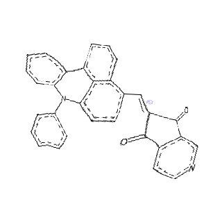 O=C1/C(=C\c2ccc3c4c(cccc24)-c2ccccc2N3c2ccccc2)C(=O)c2cnccc21